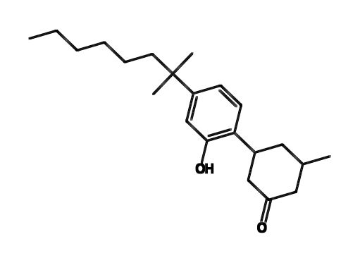 CCCCCCC(C)(C)c1ccc(C2CC(=O)CC(C)C2)c(O)c1